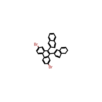 Brc1ccc2c(c1)c(-c1ccc3c(c1)C=CCC3)c(-c1ccc3ccccc3c1)c1cc(Br)ccc12